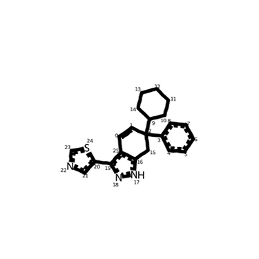 C1=CC(c2ccccc2)(C2CCCCC2)Cc2[nH]nc(-c3cncs3)c21